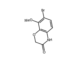 COc1c(Br)ccc2c1OCC(=O)N2